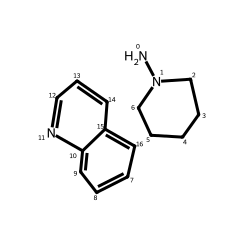 NN1CCCCC1.c1ccc2ncccc2c1